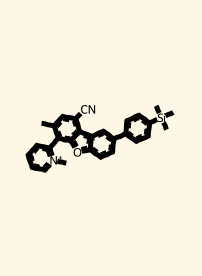 Cc1cc(C#N)c2c(oc3ccc(-c4ccc([Si](C)(C)C)cc4)cc32)c1-c1cccc[n+]1C